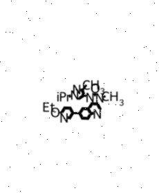 CCOc1ccc(-c2ccc3ncc4c(c3c2)n(-c2cn(C(C)C)nc2C)c(=O)n4C)cn1